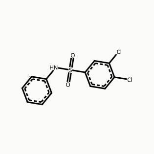 O=S(=O)(Nc1[c]cccc1)c1ccc(Cl)c(Cl)c1